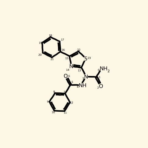 NC(=O)N(NC(=O)c1ccccc1)c1nc(-c2ccccc2)cs1